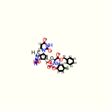 C[C@H](NP(=O)(OC[C@H]1C[C@@H](n2ccc(=O)[nH]c2=O)[C@](C)(N=[N+]=[N-])[C@@H]1O)Oc1ccc(F)cc1)C(=O)OCc1ccccc1